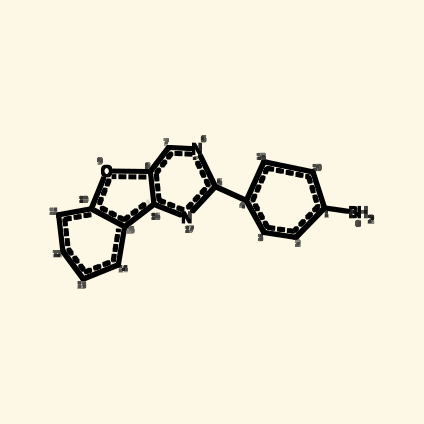 Bc1ccc(-c2ncc3oc4ccccc4c3n2)cc1